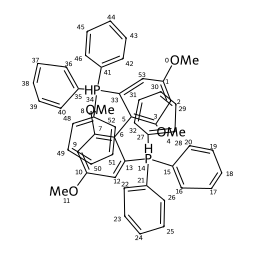 COc1cc(OC)c(-c2c(OC)cc(OC)cc2[PH](c2ccccc2)(c2ccccc2)c2ccccc2)c([PH](c2ccccc2)(c2ccccc2)c2ccccc2)c1